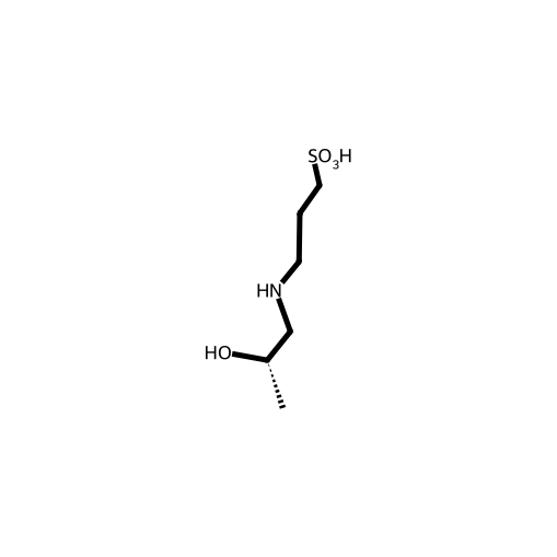 C[C@H](O)CNCCCS(=O)(=O)O